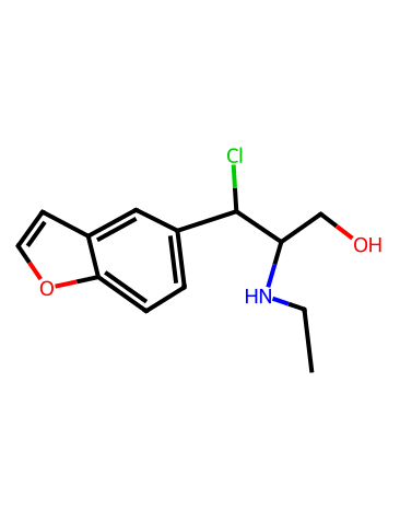 CCNC(CO)C(Cl)c1ccc2occc2c1